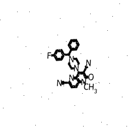 Cn1c(=O)c(C#N)c(N2CCN(C(c3ccccc3)c3ccc(F)cc3)CC2)c2nc(C#N)ccc21